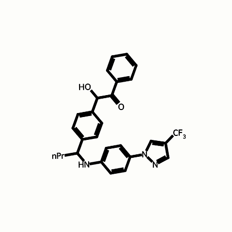 CCCC(Nc1ccc(-n2cc(C(F)(F)F)cn2)cc1)c1ccc(C(O)C(=O)c2ccccc2)cc1